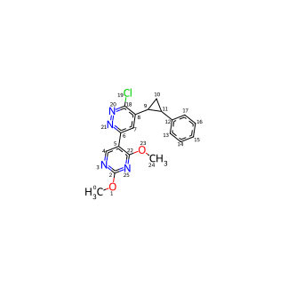 COc1ncc(-c2cc(C3CC3c3ccccc3)c(Cl)nn2)c(OC)n1